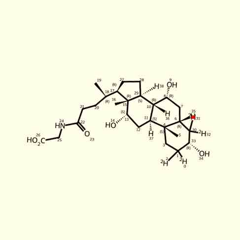 [2H]C1([2H])C[C@@]2(C)[C@H](C[C@@H](O)[C@@H]3[C@@H]2C[C@H](O)[C@]2(C)[C@@H]([C@H](C)CCC(=O)NCC(=O)O)CC[C@@H]32)C([2H])([2H])[C@@H]1O